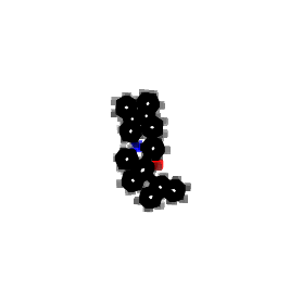 c1ccc(N(c2ccc3c(c2)C2(c4ccccc4-c4ccccc42)c2ccccc2-3)c2cccc3oc4c(-c5cc6ccccc6c6ccccc56)c5ccccc5cc4c23)cc1